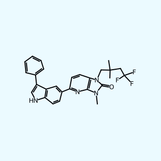 Cn1c(=O)n(CC(C)(C)CC(F)(F)F)c2ccc(-c3ccc4[nH]cc(-c5ccccc5)c4c3)nc21